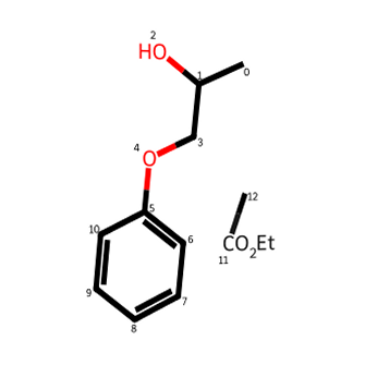 CC(O)COc1ccccc1.CCOC(C)=O